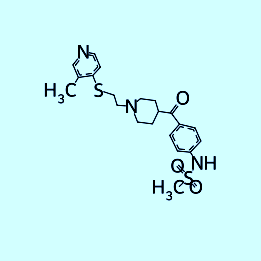 Cc1cnccc1SCCN1CCC(C(=O)c2ccc(NS(C)(=O)=O)cc2)CC1